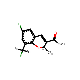 [2H]C([2H])(F)c1cc(F)cc2c1O[C@H](C(F)(F)F)C(C(=O)OC)=C2